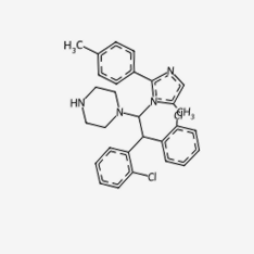 Cc1ccc(-c2ncc(C)n2C(C(c2ccccc2Cl)c2ccccc2Cl)N2CCNCC2)cc1